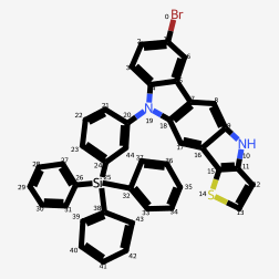 Brc1ccc2c(c1)c1cc3[nH]c4ccsc4c3cc1n2-c1cccc([Si](c2ccccc2)(c2ccccc2)c2ccccc2)c1